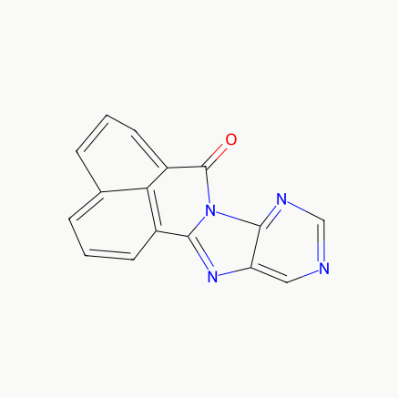 O=c1c2cccc3cccc(c32)c2nc3cncnc3n12